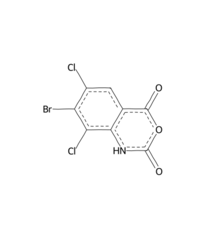 O=c1[nH]c2c(Cl)c(Br)c(Cl)cc2c(=O)o1